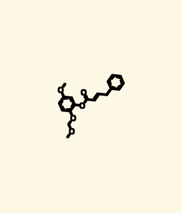 COCOc1ccc(OC)cc1OC(=O)C=CCc1ccccc1